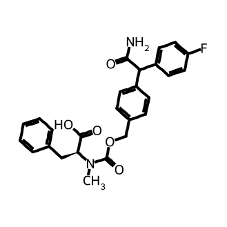 CN(C(=O)OCc1ccc(C(C(N)=O)c2ccc(F)cc2)cc1)[C@@H](Cc1ccccc1)C(=O)O